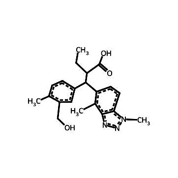 CCC(C(=O)O)C(c1ccc(C)c(CO)c1)c1ccc2c(nnn2C)c1C